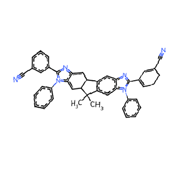 CC1(C)c2cc3c(cc2C2C=c4nc(-c5cccc(C#N)c5)n(-c5ccccc5)c4=CC21)nc(C1=CCCC(C#N)=C1)n3-c1ccccc1